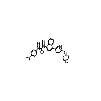 CC(C)c1ccc(NC(=O)Nc2ccc(-c3ccc(CN4CCOCC4)nc3)c3ccccc23)cc1